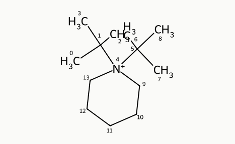 CC(C)(C)[N+]1(C(C)(C)C)CCCCC1